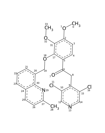 COc1ccc(C(=O)Cc2c(Cl)cncc2Cl)c(OCc2cccc3ccc(C)nc23)c1OC